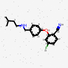 CC(C)CCNCc1ccc(Oc2cc(F)ccc2C#N)cc1